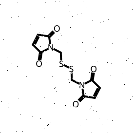 O=C1C=CC(=O)N1CSSCN1C(=O)C=CC1=O